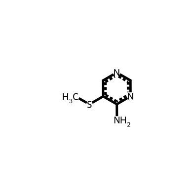 CSc1cncnc1N